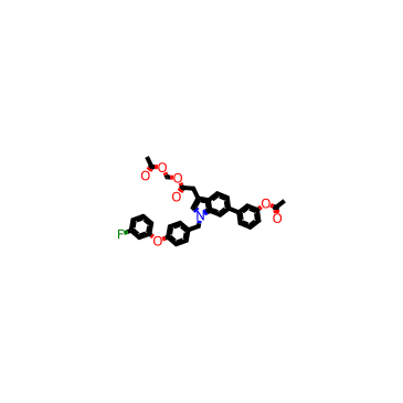 CC(=O)OCOC(=O)Cc1cn(Cc2ccc(Oc3cccc(F)c3)cc2)c2cc(-c3cccc(OC(C)=O)c3)ccc12